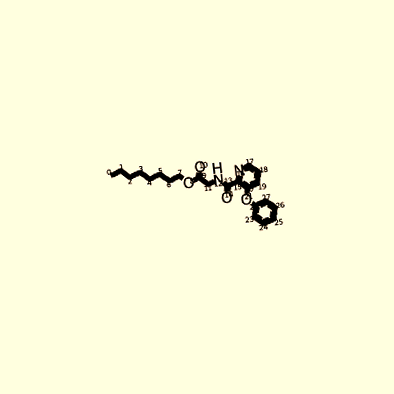 CCCCCCCCOC(=O)CNC(=O)c1ncccc1Oc1ccccc1